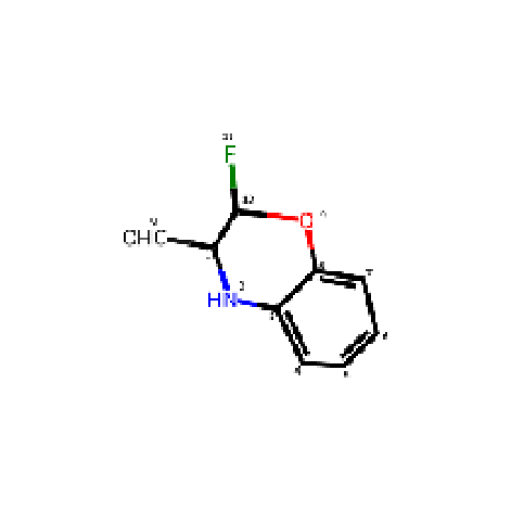 O=CC1Nc2ccccc2OC1F